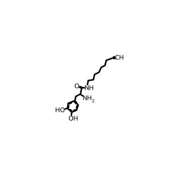 C#CCCCCCCCNC(=O)C(N)Cc1ccc(O)c(O)c1